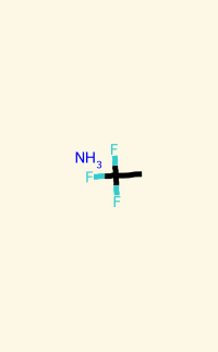 CC(F)(F)F.N